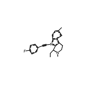 CCC1c2c(c3cc(C)ccc3n2C#Cc2ccc(F)cc2)CCN1C